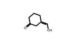 O=C1CCC/C(=C/O)C1